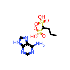 CCCC(S(=O)(=O)O)S(=O)(=O)O.Nc1ncnc2[nH]cnc12